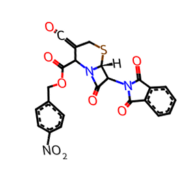 O=C=C1CS[C@@H]2C(N3C(=O)c4ccccc4C3=O)C(=O)N2C1C(=O)OCc1ccc([N+](=O)[O-])cc1